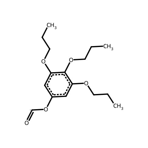 CCCOc1cc(O[C]=O)cc(OCCC)c1OCCC